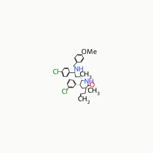 C=CC[C@@]1(C)C[C@H](c2cccc(Cl)c2)[C@H](C(C)C[C@H](NCc2ccc(OC)cc2)c2ccc(Cl)cc2)NC1=O